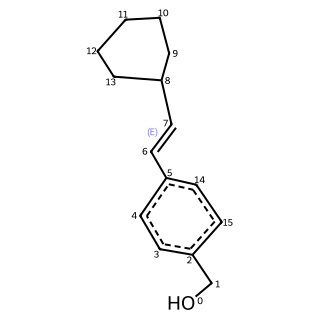 OCc1ccc(/C=C/C2CCCCC2)cc1